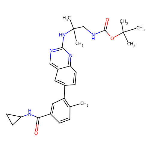 Cc1ccc(C(=O)NC2CC2)cc1-c1ccc2nc(NC(C)(C)CNC(=O)OC(C)(C)C)ncc2c1